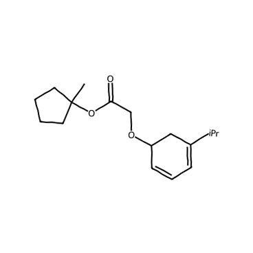 CC(C)C1=CC=CC(OCC(=O)OC2(C)CCCC2)C1